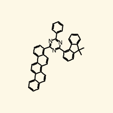 CC1(C)c2ccccc2-c2c(-c3nc(-c4ccccc4)nc(-c4cccc5c4ccc4c5ccc5c6ccccc6ccc54)n3)cccc21